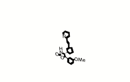 COc1cccc([C@H]2OC(=O)N[C@@H]2c2cccc(C#Cc3ccccn3)c2)c1